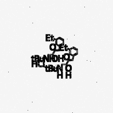 CCc1cccc2cc(C(O)CNC(C)(C)C)oc12.CCc1cccc2cc(C(O)CNC(C)(C)C)oc12.Cl